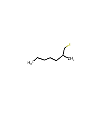 CCCCCC(C)C[S]